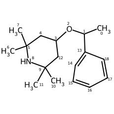 CC(OC1CC(C)(C)NC(C)(C)C1)c1ccccc1